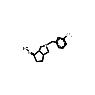 ON=C1CCC2CN(Cc3cccc(C(F)(F)F)c3)CC12